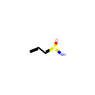 C=C[C]=S(=N)=O